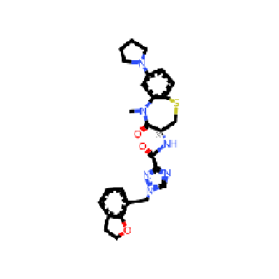 CN1C(=O)[C@@H](NC(=O)c2ncn(Cc3cccc4c3OCC4)n2)CSc2ccc(N3CCCC3)cc21